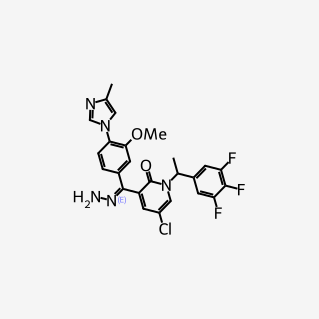 COc1cc(/C(=N\N)c2cc(Cl)cn(C(C)c3cc(F)c(F)c(F)c3)c2=O)ccc1-n1cnc(C)c1